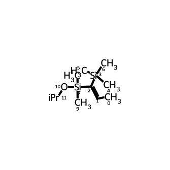 CC=C([Si](C)(C)C)[Si](C)(C)OC(C)C